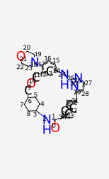 O=C1NC2CCC(CC2)COCc2cc(ccc2N2CCOCC2)Nc2nccc(n2)-c2ccc1cc2